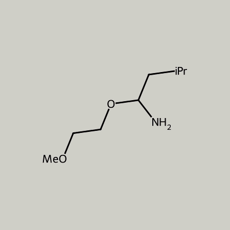 COCCOC(N)CC(C)C